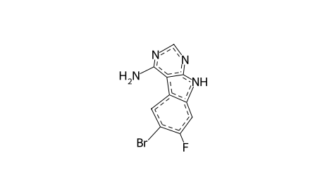 Nc1ncnc2[nH]c3cc(F)c(Br)cc3c12